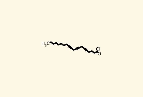 CCCCCCCCC#CCC#CCC#CCCCC(=O)Cl